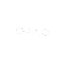 CCOC(=O)C1(C)CN(C(=O)Nc2ccc(C(F)(F)F)c(Cl)c2)N=C1c1ccc(Cl)cc1